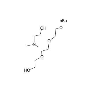 CCCCOCCOCCOCCO.CN(C)CCO